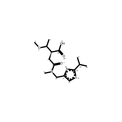 COC(C)[C@H](CC(=O)N(C)Cc1csc(C(C)C)n1)C(=O)O